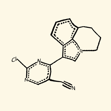 N#Cc1cnc(Cl)nc1-c1cn2c3c(cccc13)CCC2